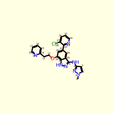 Cn1ccc(Nc2n[nH]c3c(OCCc4ccccn4)cc(-c4ncccc4Cl)cc23)n1